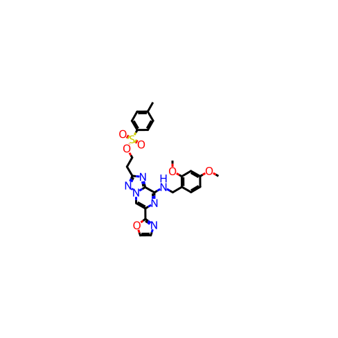 COc1ccc(CNc2nc(-c3ncco3)cn3nc(CCOS(=O)(=O)c4ccc(C)cc4)nc23)c(OC)c1